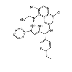 C=C(/C=C\C(F)=C/C)[C@H](Nc1cc(Cl)c2ncc(C#N)c(NCC(C)(C)C)c2c1)C1=CN(c2ccncc2)NN1